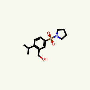 CC(C)c1ccc(S(=O)(=O)N2CCCC2)cc1CO